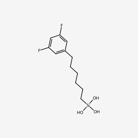 O[Si](O)(O)CCCCCCc1cc(F)cc(F)c1